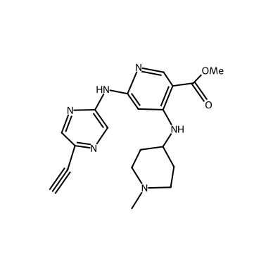 C#Cc1cnc(Nc2cc(NC3CCN(C)CC3)c(C(=O)OC)cn2)cn1